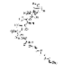 C=CC(=O)O.C=CC(=O)O.C=CC(=O)O.C=CC(=O)O.C=CC(=O)O.O=C=NCCCCCCN=C=O.OCC(CO)(CO)CO